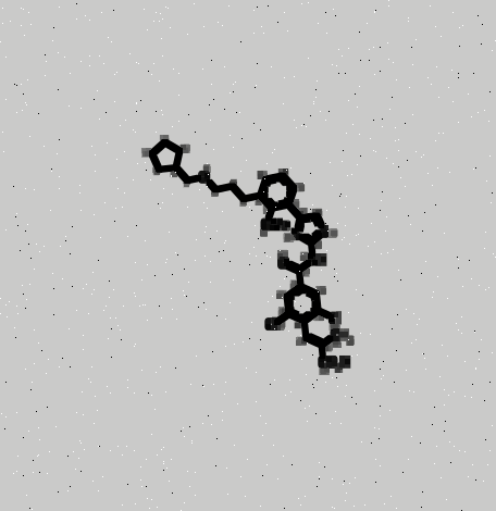 COc1c(CCCOCC2CCCC2)cccc1-c1csc(NC(=O)c2cc(Cl)c(/C=C(\C)C(=O)O)c(Cl)c2)n1